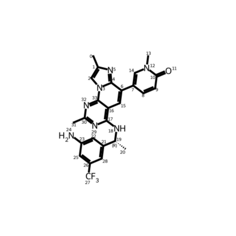 Cc1cn2c(n1)c(-c1ccc(=O)n(C)c1)cc1c(N[C@H](C)c3cc(N)cc(C(F)(F)F)c3)nc(C)nc12